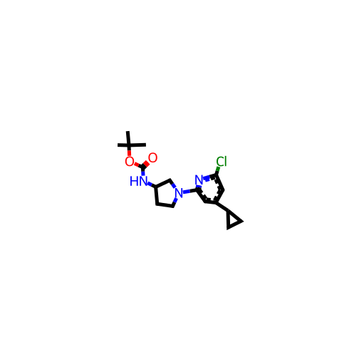 CC(C)(C)OC(=O)NC1CCN(c2cc(C3CC3)cc(Cl)n2)C1